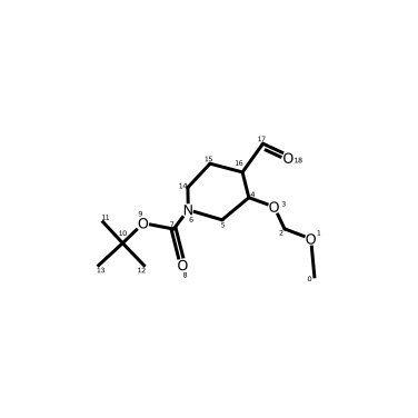 COCOC1CN(C(=O)OC(C)(C)C)CCC1C=O